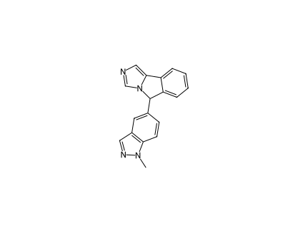 Cn1ncc2cc(C3c4ccccc4-c4cncn43)ccc21